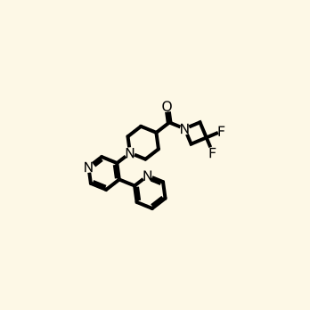 O=C(C1CCN(c2cnccc2-c2ccccn2)CC1)N1CC(F)(F)C1